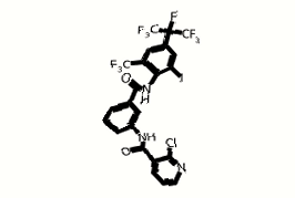 O=C(Nc1c(I)cc(C(F)(C(F)(F)F)C(F)(F)F)cc1C(F)(F)F)c1cccc(NC(=O)c2cccnc2Cl)c1